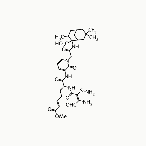 COC(=O)/C=C/CC[C@H](NC(=O)/C(SN)=C(/N)C=O)C(=O)Nc1cccn(CC(=O)NC2(C(=O)O)C(C)CC3CC2CC(C)(C(F)(F)F)C3)c1=O